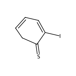 S=C1CC=CC=C1I